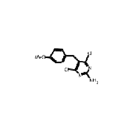 COc1ccc(Cc2c(Cl)nc(N)nc2Cl)cc1